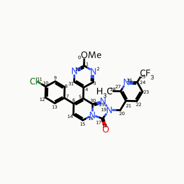 COc1ncc(-c2c(-c3ccc(Cl)cc3)ccn3c(=O)n(Cc4ccc(C(F)(F)F)nc4C)nc23)cn1